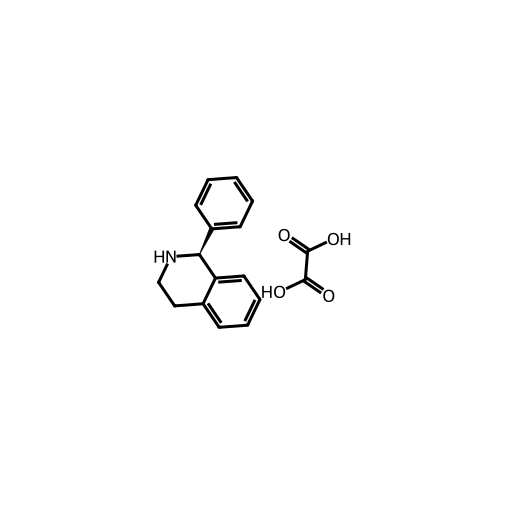 O=C(O)C(=O)O.c1ccc([C@@H]2NCCc3ccccc32)cc1